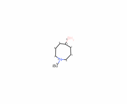 BC1CCCN(C(C)CC)CCC1